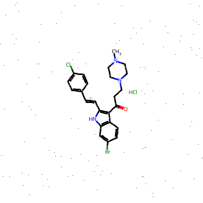 CN1CCN(CCC(=O)c2c(/C=C/c3ccc(Cl)cc3)[nH]c3cc(Br)ccc23)CC1.Cl